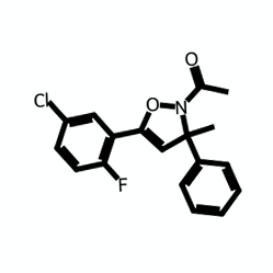 CC(=O)N1OC(c2cc(Cl)ccc2F)=CC1(C)c1ccccc1